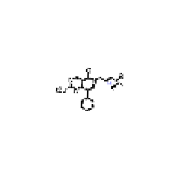 CC(C)(C)c1ncc2c(=O)n(C/C=C/S(C)(=O)=O)cc(-c3ccccc3)c2n1